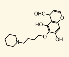 O=CC1C=COc2cc(O)c(OCCCCN3CCCCC3)c(O)c21